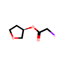 O=C(CI)O[C@@H]1CCOC1